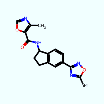 Cc1ncoc1C(=O)NC1CCc2cc(-c3noc(C(C)C)n3)ccc21